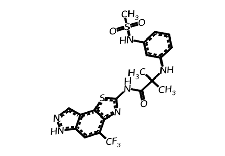 CC(C)(Nc1cccc(NS(C)(=O)=O)c1)C(=O)Nc1nc2c(C(F)(F)F)cc3[nH]ncc3c2s1